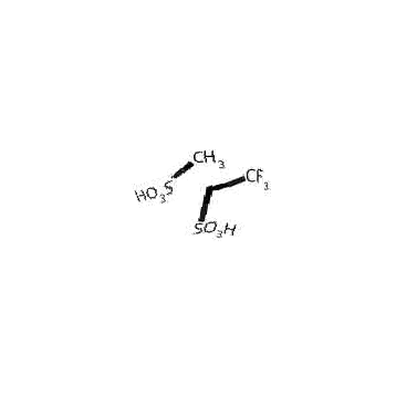 CS(=O)(=O)O.O=S(=O)(O)CC(F)(F)F